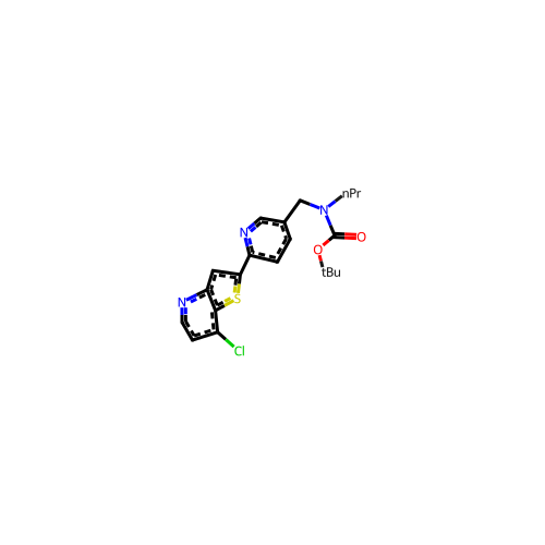 CCCN(Cc1ccc(-c2cc3nccc(Cl)c3s2)nc1)C(=O)OC(C)(C)C